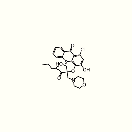 CCCOC(=O)C(CO)(CN1CCOCC1)Oc1c(O)cc(Cl)c2c(=O)c3ccccc3sc12